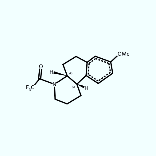 COc1ccc2c(c1)CC[C@@H]1[C@H]2CCCN1C(=O)C(F)(F)F